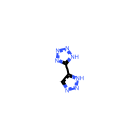 [c]1nn[nH]c1-c1nnn[nH]1